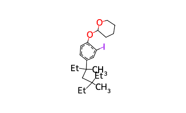 CCC(C)(CC)CC(C)(CC)c1ccc(OC2CCCCO2)c(I)c1